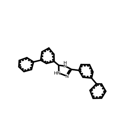 c1ccc(-c2cccc(C3=NNC(c4cccc(-c5ccccc5)c4)N3)c2)cc1